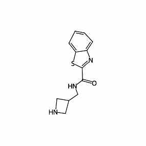 O=C(NCC1CNC1)c1nc2ccccc2s1